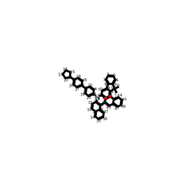 CC1(C)c2ccccc2-c2cc(N(c3ccc(-c4ccc(C5CCCC5)cc4)cc3)c3ccc4ccccc4c3-c3ccc4ccccc4c3)ccc21